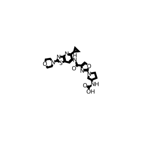 O=C(O)NC1CCN(c2nc(C(=O)Nc3cc4sc(N5CCOCC5)nc4nc3C3CC3)co2)C1